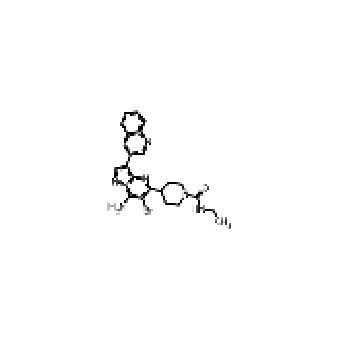 CCNC(=O)N1CCC(c2nc3c(-c4cnc5ccccc5c4)cnn3c(N)c2Br)CC1